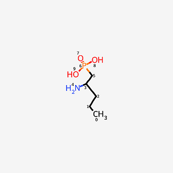 CCCC(N)CP(=O)(O)O